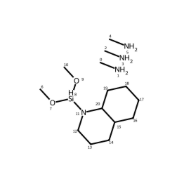 CN.CN.CN.CO[SiH](OC)N1CCCC2CCCCC21